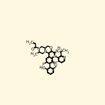 C=CC(=O)N1CC2COc3c(c4cc(F)c(-c5c(O)cccc5F)c(F)c4n(-c4c(C)ccnc4C(C)C)c3=S)N2CC1C